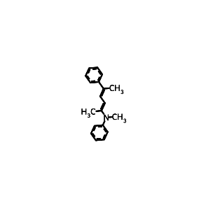 C/C(=C\C=C(/C)N(C)c1ccccc1)c1ccccc1